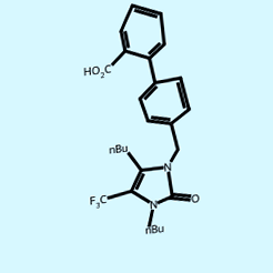 CCCCc1c(C(F)(F)F)n(CCCC)c(=O)n1Cc1ccc(-c2ccccc2C(=O)O)cc1